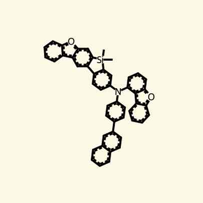 C[Si]1(C)c2cc(N(c3ccc(-c4ccc5ccccc5c4)cc3)c3cccc4oc5ccccc5c34)ccc2-c2cc3c(cc21)oc1ccccc13